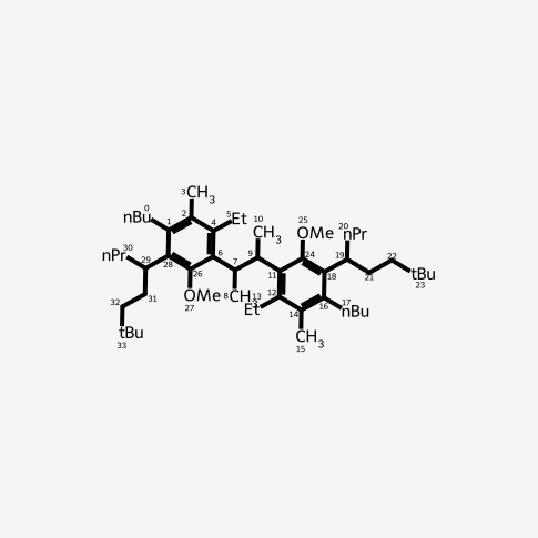 CCCCc1c(C)c(CC)c(C(C)C(C)c2c(CC)c(C)c(CCCC)c(C(CCC)CCC(C)(C)C)c2OC)c(OC)c1C(CCC)CCC(C)(C)C